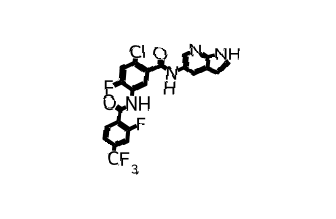 O=C(Nc1cc(C(=O)Nc2cnc3[nH]ccc3c2)c(Cl)cc1F)c1ccc(C(F)(F)F)cc1F